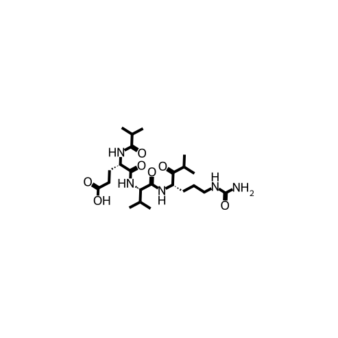 CC(C)C(=O)N[C@@H](CCC(=O)O)C(=O)N[C@H](C(=O)N[C@@H](CCCNC(N)=O)C(=O)C(C)C)C(C)C